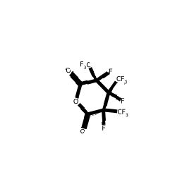 O=C1OC(=O)C(F)(C(F)(F)F)C(F)(C(F)(F)F)C1(F)C(F)(F)F